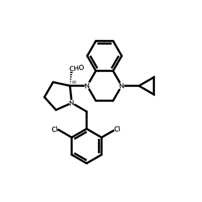 O=C[C@@]1(N2CCN(C3CC3)c3ccccc32)CCCN1Cc1c(Cl)cccc1Cl